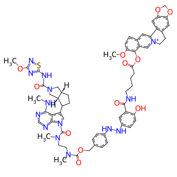 CNc1ncnc2c1c(C1CC[C@H]3CN(C(=O)Nc4nc(OC)ns4)C[C@@H]13)cn2C(=O)N(C)CCN(C)C(=O)OCc1ccc(NNc2ccc(O)c(C(=O)NCCCCC(=O)Oc3c(OC)ccc4cc5[n+](cc34)CCc3cc4c(cc3-5)OCO4)c2)cc1